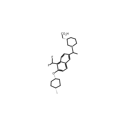 CC(c1ccc2c(C(F)F)c(O[C@H]3CC[C@@H](C)CC3)ccc2c1)N1CCC[C@@H](CC(=O)O)C1